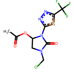 CC(=O)OC1CN(CCl)C(=O)N1c1nnc(C(F)(F)F)s1